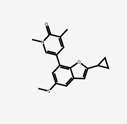 CSc1cc(-c2cc(C)c(=O)n(C)c2)c2oc(C3CC3)cc2c1